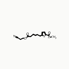 COC(=O)c1ccc(CCCCCC(=O)OCCC#N)s1